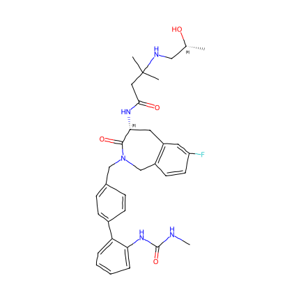 CNC(=O)Nc1ccccc1-c1ccc(CN2Cc3ccc(F)cc3C[C@@H](NC(=O)CC(C)(C)NC[C@@H](C)O)C2=O)cc1